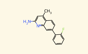 Cc1cc(N)nc2cc(-c3ccccc3F)ccc12